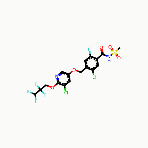 CS(=O)(=O)NC(=O)c1cc(Cl)c(COc2cnc(OCC(F)(F)C(F)F)c(Cl)c2)cc1F